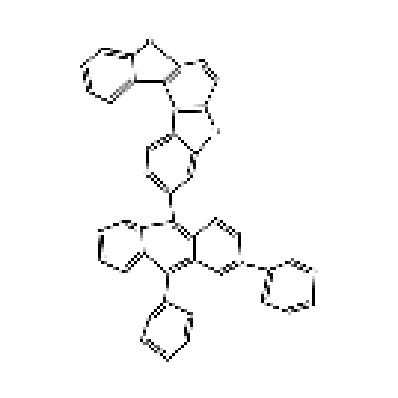 c1ccc(-c2ccc3c(-c4ccc5c(c4)oc4ccc6oc7ccccc7c6c45)c4ccccc4c(-c4ccccc4)c3c2)cc1